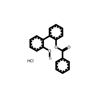 Cl.O=C(Oc1ccccc1-c1ccccc1[O][Ti])c1ccccc1